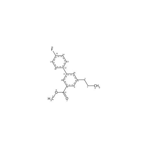 CCCc1cc(C(=O)OC)cc(-c2ccc(F)cc2)c1